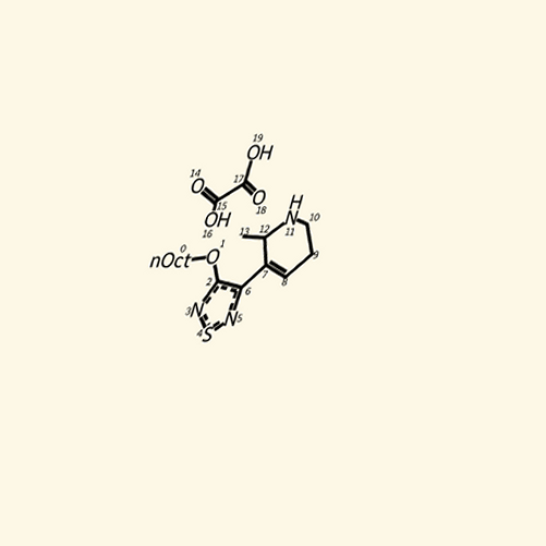 CCCCCCCCOc1nsnc1C1=CCCNC1C.O=C(O)C(=O)O